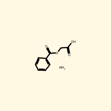 O=C(O)COC(=O)c1ccccc1.[AlH3]